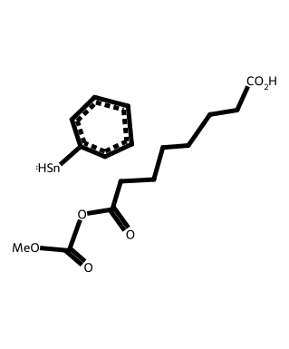 COC(=O)OC(=O)CCCCCCC(=O)O.[SnH][c]1ccccc1